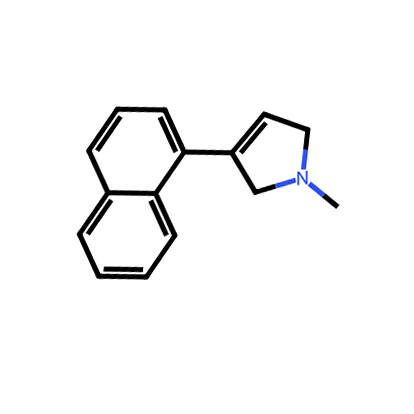 CN1CC=C(c2cccc3ccccc23)C1